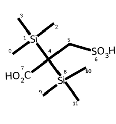 C[Si](C)(C)C(CS(=O)(=O)O)(C(=O)O)[Si](C)(C)C